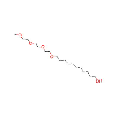 COCCOCCOCCOCCCCCCCCCCCO